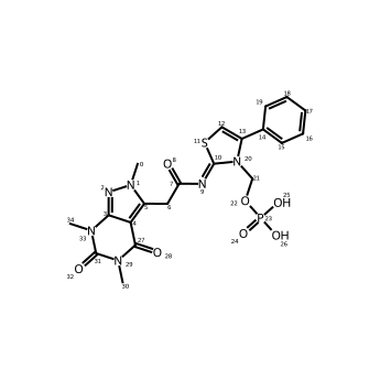 Cn1nc2c(c1CC(=O)/N=c1\scc(-c3ccccc3)n1COP(=O)(O)O)c(=O)n(C)c(=O)n2C